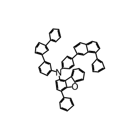 c1ccc(-c2cccc(-c3cccc(N(c4ccc(-c5ccc6cccc(-c7ccccc7)c6c5)cc4)c4ccc(-c5ccccc5)c5oc6ccccc6c45)c3)c2)cc1